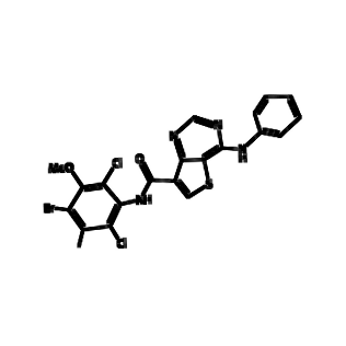 COc1c(Cl)c(NC(=O)c2csc3c(Nc4ccccc4)ncnc23)c(Cl)c(C)c1Br